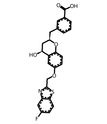 O=C(O)c1cccc(C[C@@H]2C[C@H](O)c3cc(OCc4nc5cc(F)ccc5s4)ccc3O2)c1